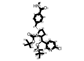 CNC(=O)c1ccc(C[C@@H]2CCC([C@H](O[Si](C)(C)C(C)(C)C)c3ccc(Cl)nc3)N2C(=O)OC(C)(C)C)cc1